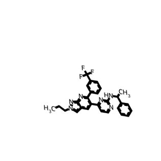 CCCn1cc2cc(-c3ccnc(NC(C)c4ccccc4)n3)c(-c3cccc(C(F)(F)F)c3)nc2n1